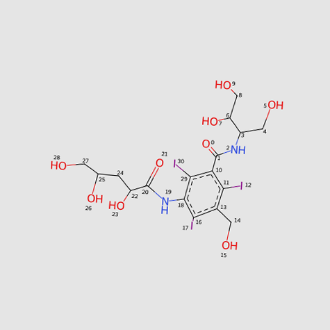 O=C(NC(CO)C(O)CO)c1c(I)c(CO)c(I)c(NC(=O)C(O)CC(O)CO)c1I